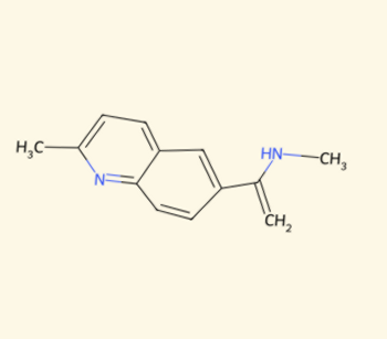 C=C(NC)c1ccc2nc(C)ccc2c1